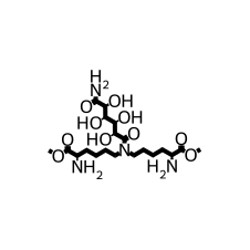 COC(=O)[C@@H](N)CCCCN(CCCC[C@H](N)C(=O)OC)C(=O)[C@H](O)[C@@H](O)[C@H](O)[C@H](O)C(N)=O